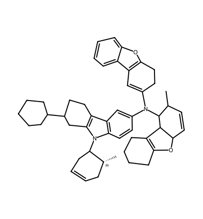 CC1C=CC2OC3=C(CCCC3)C2C1N(C1=Cc2c(oc3ccccc23)CC1)c1ccc2c(c1)c1c(n2C2CC=CC[C@H]2C)CC(C2CCCCC2)CC1